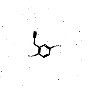 C#CCc1cc(OC)ccc1OC